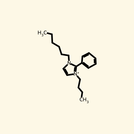 CCCCCCn1cc[n+](CCCC)c1-c1ccccc1